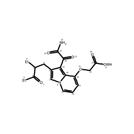 CCC(=O)C(CC)Cc1cn2cccc(OCC(=O)OC)c2c1C(=O)C(N)=O